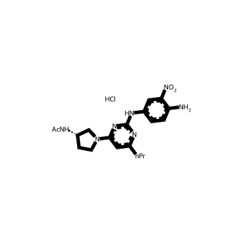 CCCc1cc(N2CC[C@H](NC(C)=O)C2)nc(Nc2ccc(N)c([N+](=O)[O-])c2)n1.Cl